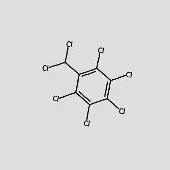 Cl[C](Cl)c1c(Cl)c(Cl)c(Cl)c(Cl)c1Cl